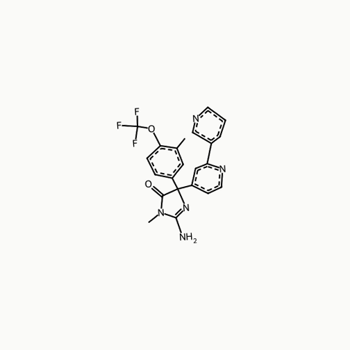 Cc1cc(C2(c3ccnc(-c4cccnc4)c3)N=C(N)N(C)C2=O)ccc1OC(F)(F)F